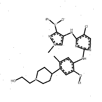 CCOc1cc(C2CCN(CCO)CC2)c(C)cc1Nc1ncc(Cl)c(Nc2cn(C)nc2[S+]([O-])C(C)C)n1